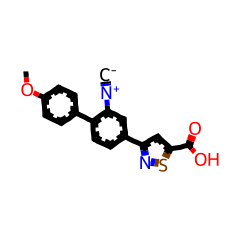 [C-]#[N+]c1cc(-c2cc(C(=O)O)sn2)ccc1-c1ccc(OC)cc1